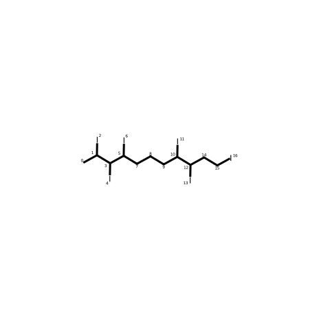 CC(I)C(I)C(I)CCCC(I)C(I)CCI